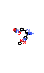 O=C(OC1CCCC1)N1CC=C(c2c[nH]c3ncc(-c4cccc(C(=O)N5CCOCC5)c4)cc23)CC1